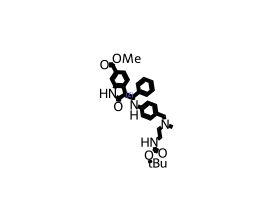 COC(=O)c1ccc2c(c1)NC(=O)/C2=C(\Nc1ccc(CN(C)CCNC(=O)OC(C)(C)C)cc1)c1ccccc1